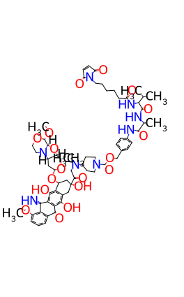 COc1cccc2c1C(=N)c1c(O)c3c(c(O)c1C2=O)C[C@@](O)(C(=O)CN(C)C1CCN(C(=O)OCc2ccc(NC(=O)[C@H](C)NC(=O)[C@@H](NC(=O)CCCCCN4C(=O)C=CC4=O)C(C)C)cc2)CC1)C[C@@H]3O[C@H]1C[C@H]2[C@H](O[C@@H]3[C@@H](OC)OCCN32)[C@H](C)O1